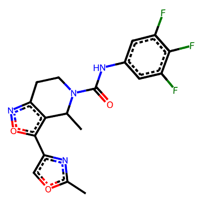 Cc1nc(-c2onc3c2C(C)N(C(=O)Nc2cc(F)c(F)c(F)c2)CC3)co1